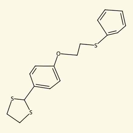 c1ccc(SCCOc2ccc(C3SCCS3)cc2)cc1